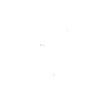 C=C1CC(CC)CCC1(O)c1ccccc1-c1ccc(Cl)cc1